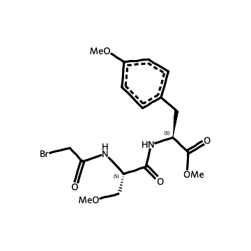 COC[C@H](NC(=O)CBr)C(=O)N[C@@H](Cc1ccc(OC)cc1)C(=O)OC